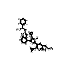 CC(C)n1cc2cc(-c3nc(-c4cccc5nn(C[C@H](O)c6ccccc6)cc45)c(C4CC4)n3C)c(C3CC3)nc2n1